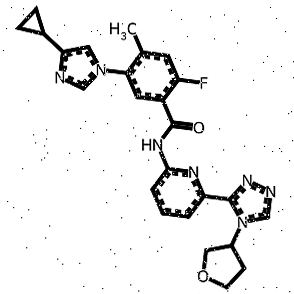 Cc1cc(F)c(C(=O)Nc2cccc(-c3nncn3C3CCOC3)n2)cc1-n1cnc(C2CC2)c1